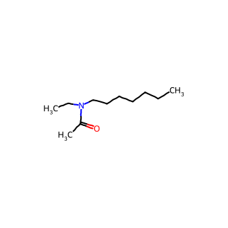 CCCCCCCN(CC)C(C)=O